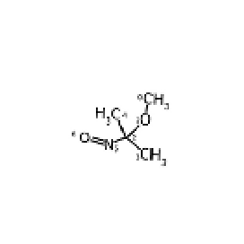 COC(C)(C)N=O